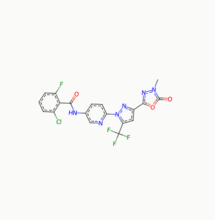 Cn1nc(-c2cc(C(F)(F)F)n(-c3ccc(NC(=O)c4c(F)cccc4Cl)cn3)n2)oc1=O